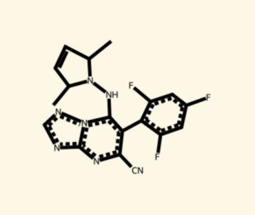 CC1C=CC(C)N1Nc1c(-c2c(F)cc(F)cc2F)c(C#N)nc2ncnn12